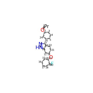 CC(C)Oc1cccc(-c2n[nH]c3cc(Oc4ccccc4F)ccc23)c1